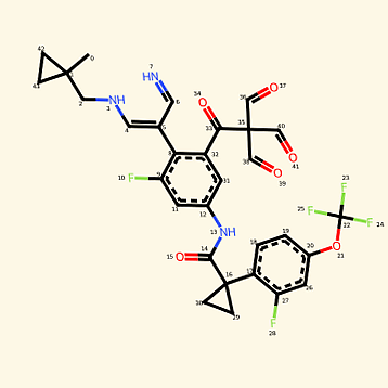 CC1(CN/C=C(\C=N)c2c(F)cc(NC(=O)C3(c4ccc(OC(F)(F)F)cc4F)CC3)cc2C(=O)C(C=O)(C=O)C=O)CC1